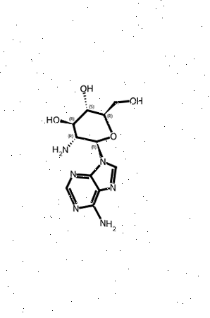 Nc1ncnc2c1ncn2[C@@H]1O[C@H](CO)[C@@H](O)[C@H](O)[C@H]1N